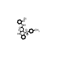 CCOc1ccccc1NC(=O)CC1C(=O)Nc2ccccc2N1S(=O)(=O)c1ccc(C)cc1